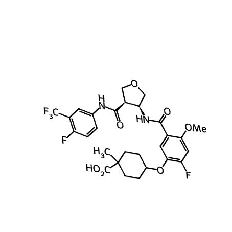 COc1cc(F)c(OC2CCC(C)(C(=O)O)CC2)cc1C(=O)N[C@@H]1COC[C@@H]1C(=O)Nc1ccc(F)c(C(F)(F)F)c1